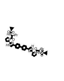 CC(C)[C@H](NS(=O)(=O)C1CC1)C(=O)N1CCC[C@H]1c1nc(-c2ccc(-c3ccc(-c4c[nH]c([C@@H]5CCCN5C(=O)[C@@H](NS(=O)(=O)C5CC5)C(C)C)n4)cc3)cc2)c[nH]1